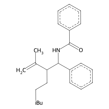 [CH2]CC(C)CCC(C(=C)C)C(NC(=O)c1ccccc1)c1ccccc1